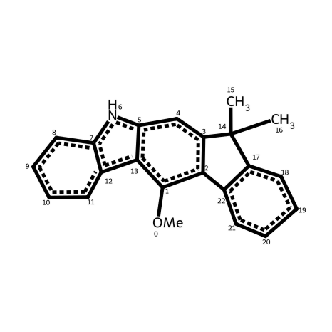 COc1c2c(cc3[nH]c4ccccc4c13)C(C)(C)c1ccccc1-2